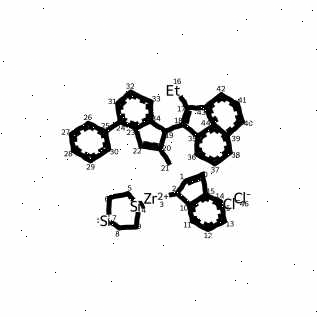 C1=C[CH]([Zr+2]=[Si]2CC[Si]CC2)c2ccccc21.CCC1=C(C2C(C)=Cc3c(-c4ccccc4)cccc32)c2cccc3cccc1c23.[Cl-].[Cl-]